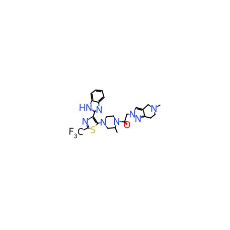 CC1CN(c2sc(C(F)(F)F)nc2-c2nc3ccccc3[nH]2)CCN1C(=O)Cn1cc2c(n1)CCN(C)C2